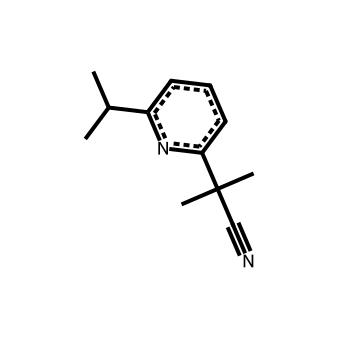 CC(C)c1cccc(C(C)(C)C#N)n1